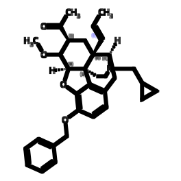 C/C=C/[C@]12C[C@H](C(C)=O)C(OC)[C@@H]3Oc4c(OCc5ccccc5)ccc5c4[C@@]31CCN(CC1CC1)[C@@H]2C5